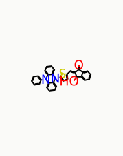 O=C1/C(=C/c2ccc(N3c4ccccc4N(c4ccccc4)c4ccccc43)s2)C(O)c2ccccc21